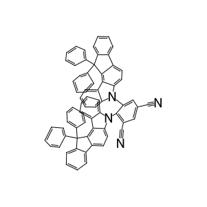 N#Cc1cc(C#N)c(-n2c3ccccc3c3c4c(ccc32)-c2ccccc2C4(c2ccccc2)c2ccccc2)c(-n2c3ccccc3c3c4c(ccc32)-c2ccccc2C4(c2ccccc2)c2ccccc2)c1